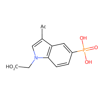 CC(=O)c1cn(CC(=O)O)c2ccc(P(=O)(O)O)cc12